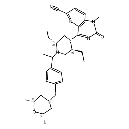 CC[C@H]1CN(C(C)c2ccc(CN3C[C@@H](C)O[C@@H](C)C3)cc2)[C@H](CC)CN1c1nc(=O)n(C)c2ccc(C#N)nc12